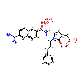 N=C(N)c1ccc2cc(C(=O)NC[C@@H]3C[C@@H](CC(=O)O)C(=O)N3CCCc3ccccc3)ccc2c1.O.O